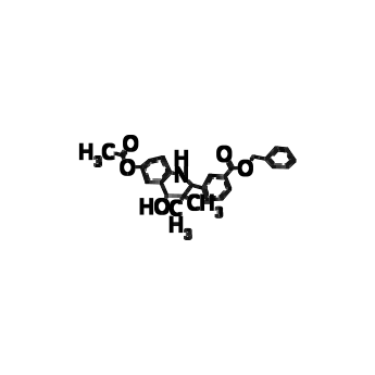 CC(=O)Oc1ccc2c(c1)C(O)C(C)(C)C(c1cccc(C(=O)OCc3ccccc3)c1)N2